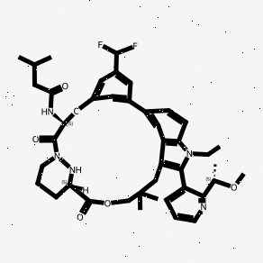 CCn1c(-c2cccnc2[C@H](C)OC)c2c3cc(ccc31)-c1cc(cc(C(F)F)c1)C[C@H](NC(=O)CC(C)C)C(=O)N1CCC[C@H](N1)C(=O)OCC(C)(C)C2